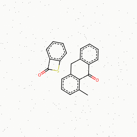 Cc1cccc2c1C(=O)c1ccccc1C2.O=C1Sc2ccccc21